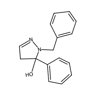 OC1(c2ccccc2)CC=NN1Cc1ccccc1